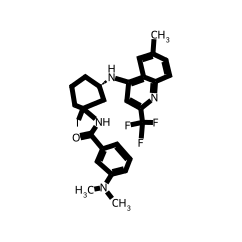 Cc1ccc2nc(C(F)(F)F)cc(N[C@H]3CCCC(I)(NC(=O)c4cccc(N(C)C)c4)C3)c2c1